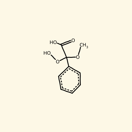 COC(OO)(C(=O)O)c1ccccc1